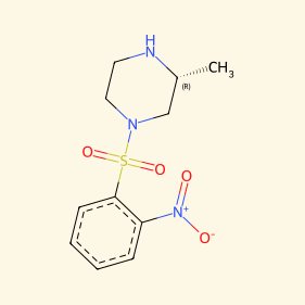 C[C@@H]1CN(S(=O)(=O)c2ccccc2[N+](=O)[O-])CCN1